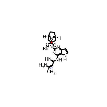 C/C(N)=C/C(=N)Nc1nc(N[C@@H]2C[C@H]3CC[C@@H](C2)N3C(=O)OC(C)(C)C)nc2cc[nH]c12